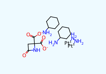 NC1CCCCC1.NC1CCCCC1.O=C1CC(C(=O)[O-])(C(=O)[O-])N1.[NH2][Pt+].[NH2][Pt+]